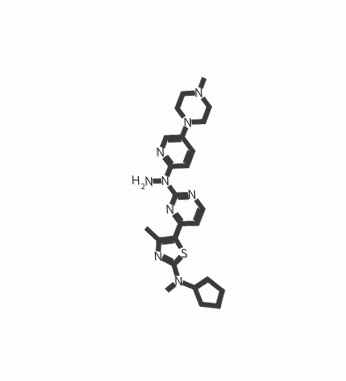 Cc1nc(N(C)C2CCCC2)sc1-c1ccnc(N(N)c2ccc(N3CCN(C)CC3)cn2)n1